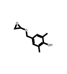 Cc1cc(COC2CO2)cc(C)c1O